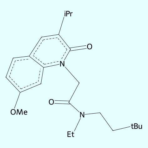 CCN(CCC(C)(C)C)C(=O)Cn1c(=O)c(C(C)C)cc2ccc(OC)cc21